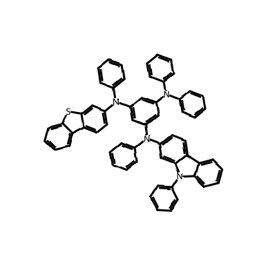 c1ccc(N(c2ccccc2)c2cc(N(c3ccccc3)c3ccc4c(c3)sc3ccccc34)cc(N(c3ccccc3)c3ccc4c5ccccc5n(-c5ccccc5)c4c3)c2)cc1